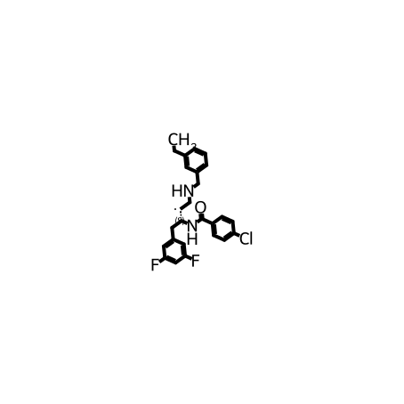 CCc1cccc(CNC[CH][C@@H](Cc2cc(F)cc(F)c2)NC(=O)c2ccc(Cl)cc2)c1